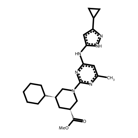 COC(=O)[C@@H]1C[C@H](C2CCCCC2)CN(c2nc(C)cc(Nc3cc(C4CC4)n[nH]3)n2)C1